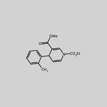 CCOC(=O)N1C=CC(c2ccccc2C)C(C(=O)OC)=C1